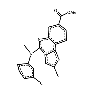 COC(=O)c1ccc2c(c1)nc(N(C)c1cccc(Cl)c1)n1cc(C)nc21